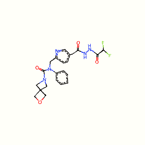 O=C(NNC(=O)C(F)F)c1ccc(CN(C(=O)N2CC3(COC3)C2)c2ccccc2)nc1